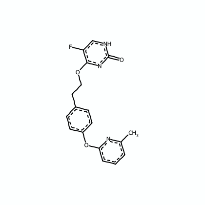 Cc1cccc(Oc2ccc(CCOc3nc(=O)[nH]cc3F)cc2)n1